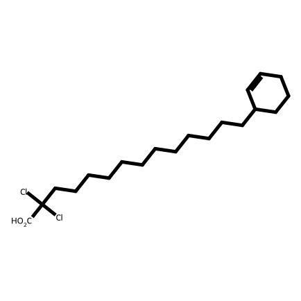 O=C(O)C(Cl)(Cl)CCCCCCCCCCCCC1C=CCCC1